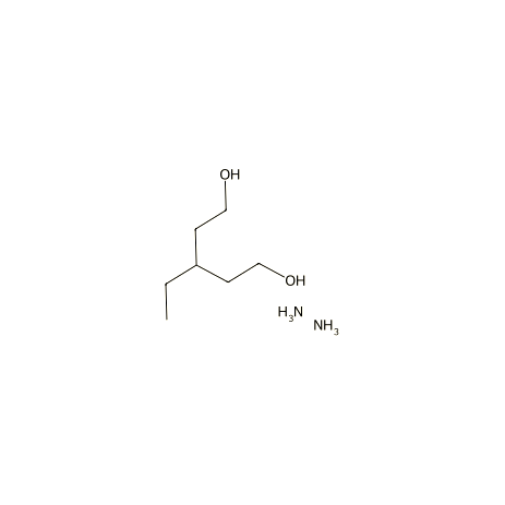 CCC(CCO)CCO.N.N